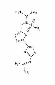 CSC(N)=[N+](Cc1ccc(-c2csc(N=C(N)N)n2)o1)S(C)(=O)=O